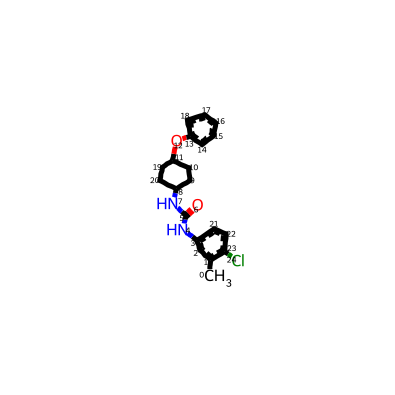 Cc1cc(NC(=O)NC2CCC(Oc3ccccc3)CC2)ccc1Cl